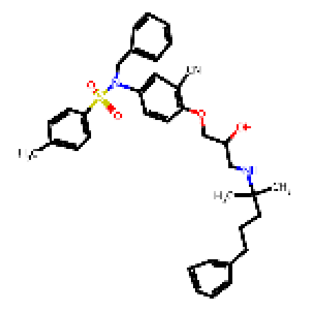 Cc1ccc(S(=O)(=O)N(Cc2ccccc2)c2ccc(OCC(O)CNC(C)(C)CCCc3ccccc3)c(C#N)c2)cc1